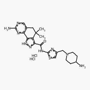 CC1(C)Cc2cnc(N)nc2-c2[nH]nc(C(=O)Nc3nc(CN4CCC(N)CC4)cs3)c21.Cl.Cl